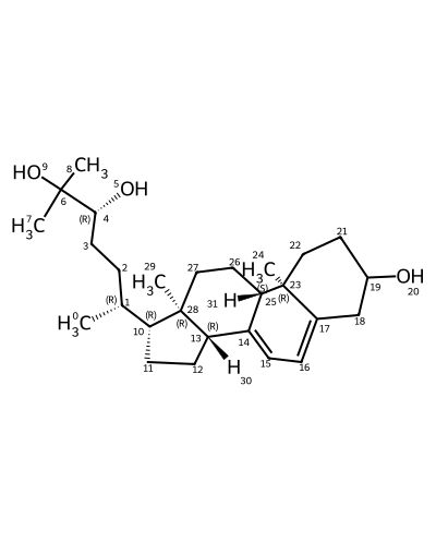 C[C@H](CC[C@@H](O)C(C)(C)O)[C@H]1CC[C@H]2C3=CC=C4CC(O)CC[C@]4(C)[C@H]3CC[C@]12C